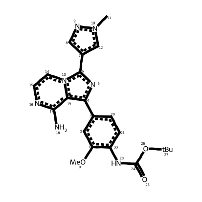 COc1cc(-c2nc(-c3cnn(C)c3)n3ccnc(N)c23)ccc1NC(=O)OC(C)(C)C